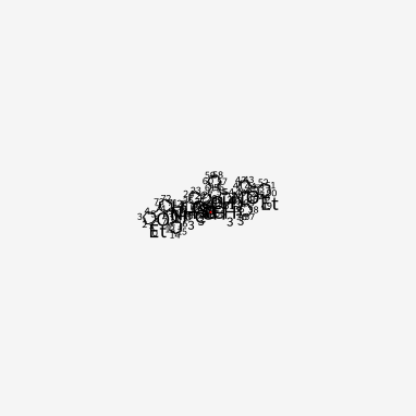 CCc1cccc2c1oc1c(N(c3ccccc3)c3ccc4c5c(ccc4c3)-c3c(c4ccc(N(c6ccccc6)c6cccc7c6oc6c(CC)cccc67)cc4c4ccccc34)C5([Si](C)(C)C)[Si](C)(C)C)cccc12